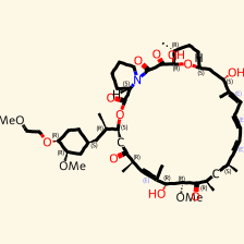 COCCO[C@@H]1CC[C@@H](C[C@@H](C)[C@@H]2CC(=O)[C@H](C)/C=C(\C)[C@@H](O)[C@@H](OC)C(=O)[C@H](C)C[C@H](C)/C=C/C=C/C=C(\C)[C@@H](O)C[C@@H]3CC[C@@H](C)[C@@](O)(O3)C(=O)C(=O)N3CCCC[C@H]3C(=O)O2)C[C@H]1OC